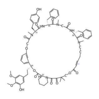 COc1cc(CC[C@H]2OC(=O)[C@@H]3CCCCN3C(=O)C(=O)C(C)(C)COC(=O)/C=C/CCCN(C)C(=O)[C@@H](Cc3ccccc3)NC(=O)CN(C)C(=O)[C@@H](Cc3ccccc3)NC(=O)[C@H](Cc3ccc(O)cc3)N(C)C(=O)COc3cccc2c3)cc(O)c1OC